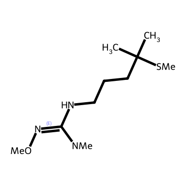 CN/C(=N\OC)NCCCC(C)(C)SC